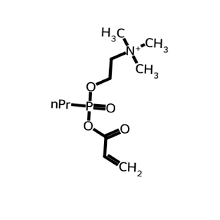 C=CC(=O)OP(=O)(CCC)OCC[N+](C)(C)C